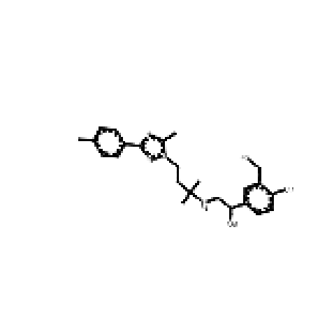 Cc1ccc(-c2nc(C)n(CCC(C)(C)NCC(O)c3ccc(O)c(CO)c3)n2)cc1